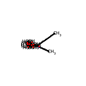 CCCCCCCCCCCCC/C=C/[C@@H](O)[C@H](CO[C@@H]1OC(CO)[C@@H](O[C@@H]2OC(CO)[C@H](O)[C@H](O[C@H]3OC(CO)[C@H](O)[C@H](O)C3O)C2O[C@H]2OC(C)[C@@H](O)C(O)[C@@H]2O)[C@H](O)C1O)NC(=O)CCCCCCCCCCCCCCCCCCCCCCCCC